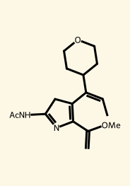 C=C(OC)C1=C(/C(=C\C)C2CCOCC2)CC(NC(C)=O)=N1